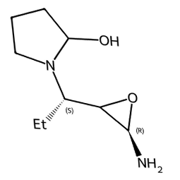 CC[C@@H](C1O[C@H]1N)N1CCCC1O